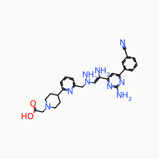 N#Cc1cccc(-c2cc(/C(N)=C/N(N)Cc3cccc(C4CCN(CC(=O)O)CC4)n3)nc(N)n2)c1